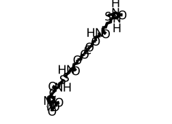 Cn1c(=O)oc(=O)c2cc(CCC(=O)NCCSSCCNC(=O)CCOCCOCCOCCOCCNC(=O)CCCCC3SCC4NC(=O)NC43)cnc21